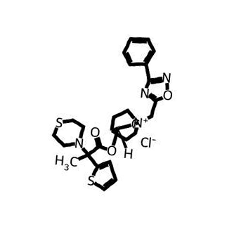 CC(C(=O)O[C@H]1C[N+]2(Cc3nc(-c4ccccc4)no3)CCC1CC2)(c1cccs1)N1CCSCC1.[Cl-]